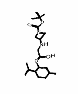 CC1CCC(C(C)C)C(OC(O)CNC2CN(C(=O)OC(C)(C)C)C2)C1